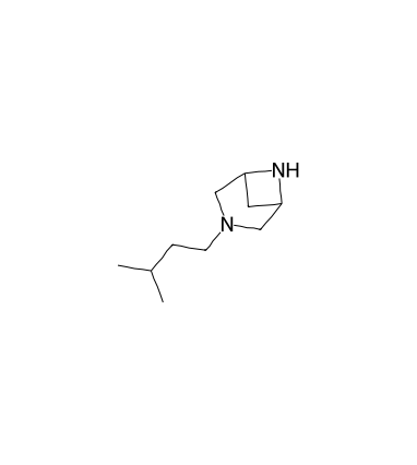 CC(C)CCN1CC2CC(C1)N2